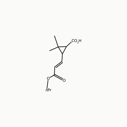 CCCOC(=O)/C=C/C1C(C(=O)O)C1(C)C